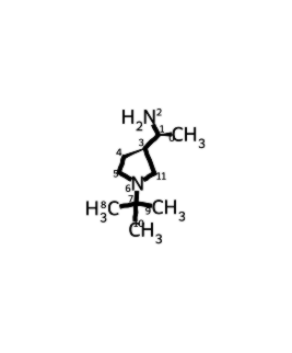 C[C@H](N)[C@@H]1CCN(C(C)(C)C)C1